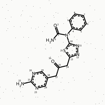 NC(=O)N(c1ccccc1)c1nnc(CC(=O)Cc2cnc(N)nc2)s1